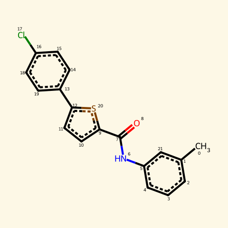 Cc1cccc(NC(=O)c2ccc(-c3ccc(Cl)cc3)s2)c1